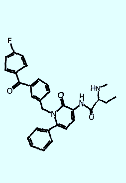 CCC(NC)C(=O)Nc1ccc(-c2ccccc2)n(Cc2cccc(C(=O)c3ccc(F)cc3)c2)c1=O